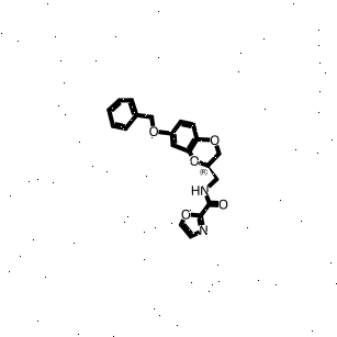 O=C(NC[C@@H]1COc2ccc(OCc3ccccc3)cc2O1)c1ncco1